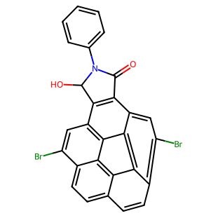 O=C1c2c(c3cc(Br)c4ccc5ccc6c(Br)cc2c2c6c5c4c32)C(O)N1c1ccccc1